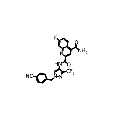 N#Cc1ccc(Cn2cc(NC(=O)c3cc(C(N)=O)c4ccc(F)cc4n3)c(C(F)(F)F)n2)cc1